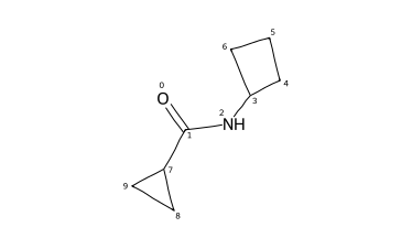 O=C(NC1CCC1)C1CC1